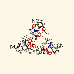 CC(C)(COP(=O)(OCC(C)(C)CC(C)(C)OC1C(N2CCCC2=O)c2cc(C#N)ccc2OC1(C)C)OC1C(N2CCCC2=O)c2cc(C#N)ccc2OC1(C)C)CC(C)(C)OC1C(N2CCCC2=O)c2cc(C#N)ccc2OC1(C)C